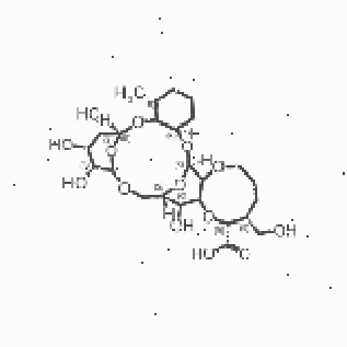 C[C@@H]1CCC[C@H]2O[C@@H]3O[C@@H](COC4O[C@@H](OC12)[C@@H](O)C(O)[C@@H]4O)[C@H](O)C1O[C@@H](C(=O)O)[C@H](CO)CCCOC13